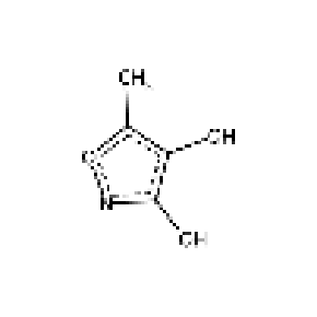 Cc1onc(O)c1O